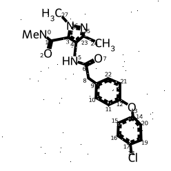 CNC(=O)c1c(NC(=O)Cc2ccc(Oc3ccc(Cl)cc3)cc2)c(C)nn1C